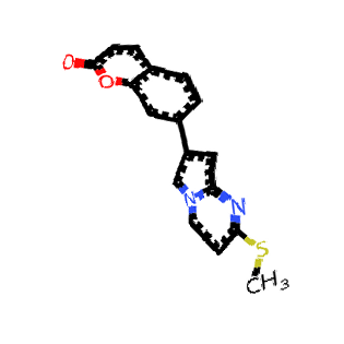 CSc1ccn2cc(-c3ccc4ccc(=O)oc4c3)cc2n1